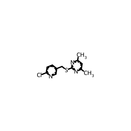 Cc1cc(C)nc(SCc2ccc(Cl)nc2)n1